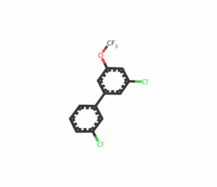 FC(F)(F)Oc1[c]c(Cl)cc(-c2cccc(Cl)c2)c1